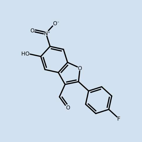 O=Cc1c(-c2ccc(F)cc2)oc2cc([N+](=O)[O-])c(O)cc12